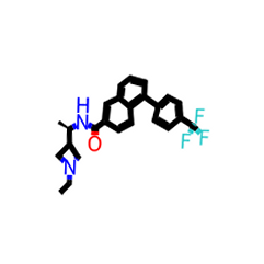 CCN1CC([C@@H](C)NC(=O)c2ccc3c(-c4ccc(C(F)(F)F)cc4)cccc3c2)C1